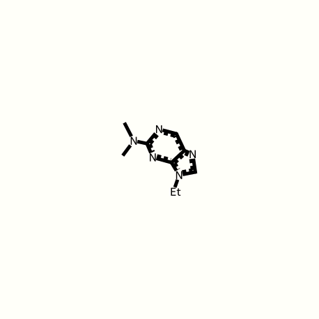 CCn1cnc2cnc(N(C)C)nc21